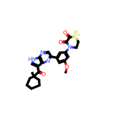 COc1cc(-c2cnc3[nH]cc(C(=O)C4(C)CCCCC4)c3n2)cc(N2CC[SH4]C(=O)C2=O)c1